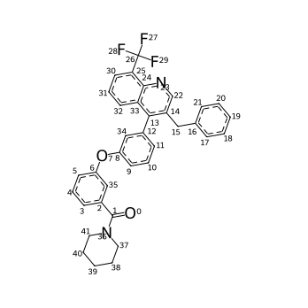 O=C(c1cccc(Oc2cccc(-c3c(Cc4ccccc4)cnc4c(C(F)(F)F)cccc34)c2)c1)N1CCCCC1